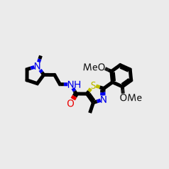 COc1cccc(OC)c1-c1nc(C)c(C(=O)NCCC2CCCN2C)s1